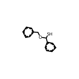 SC(OCc1ccccc1)c1ccccc1